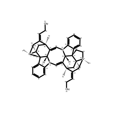 C[N@@+]12CC[C@@]34c5ccccc5N5/C=C6/[C@H]7C[C@H]8[C@@]9(CC[N@@+]8(C)C/C7=C/CO)c7ccccc7N(/C=C(/[C@@H](C[C@@H]31)/C(=C\CO)C2)[C@H]54)[C@@H]69